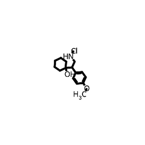 COc1ccc(C(CNCl)C2(O)CCCCC2)cc1